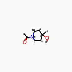 COC1(C)CCN(C(C)=O)CC1